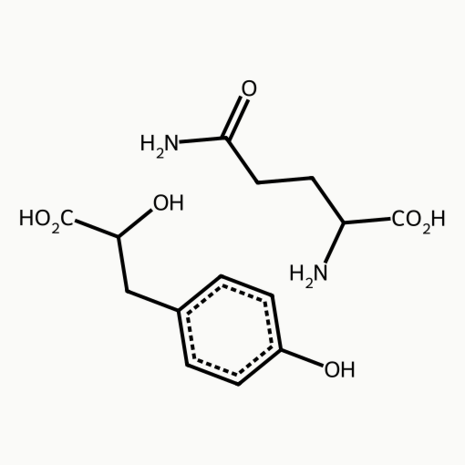 NC(=O)CCC(N)C(=O)O.O=C(O)C(O)Cc1ccc(O)cc1